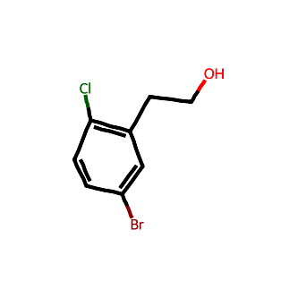 OCCc1cc(Br)ccc1Cl